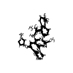 CC(=O)N1CC[C@H](Oc2cc3c(NC(C)c4cccc5c4CCC5(F)F)nc(C)nc3n3cnnc23)C1